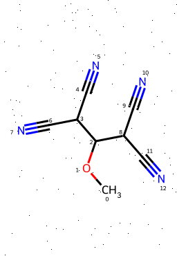 COC(C(C#N)C#N)C(C#N)C#N